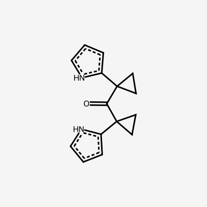 O=C(C1(c2ccc[nH]2)CC1)C1(c2ccc[nH]2)CC1